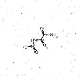 NC(=O)C(=O)N[N+](=O)[O-]